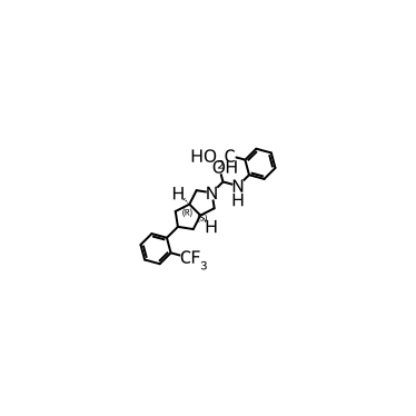 O=C(O)c1ccccc1NC(O)N1C[C@H]2CC(c3ccccc3C(F)(F)F)C[C@H]2C1